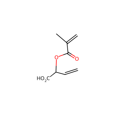 C=CC(OC(=O)C(=C)C)C(=O)O